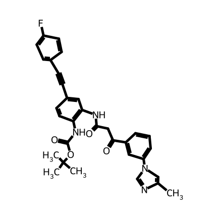 Cc1cn(-c2cccc(C(=O)CC(=O)Nc3cc(C#Cc4ccc(F)cc4)ccc3NC(=O)OC(C)(C)C)c2)cn1